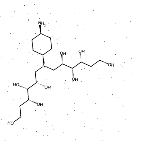 N[C@H]1CC[C@@H](N(C[C@H](O)[C@@H](O)[C@H](O)CCO)C[C@H](O)[C@@H](O)[C@H](O)CCO)CC1